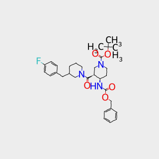 CC(C)(C)OC(=O)N1CC[C@@H](NC(=O)OCc2ccccc2)[C@@H](C(=O)N2CCCC(Cc3ccc(F)cc3)C2)C1